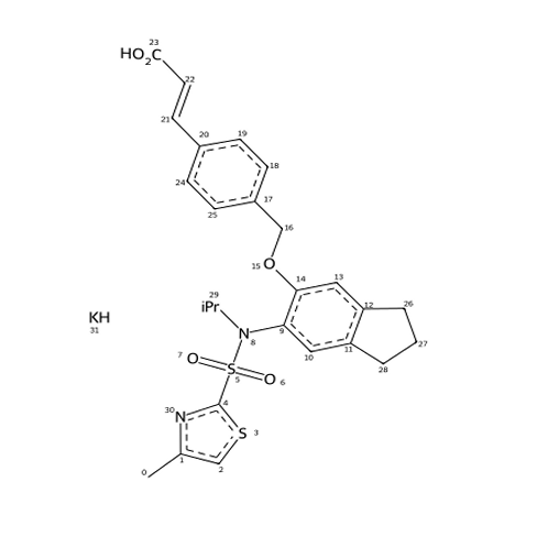 Cc1csc(S(=O)(=O)N(c2cc3c(cc2OCc2ccc(/C=C/C(=O)O)cc2)CCC3)C(C)C)n1.[KH]